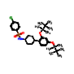 CC(C)(C)[Si](C)(C)Oc1ccc(C2CCC(NS(=O)(=O)c3ccc(Cl)cc3)CC2)c(O[Si](C)(C)C(C)(C)C)c1